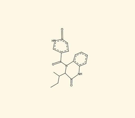 CCC(C)C1C(=O)Nc2ccccc2N1C(=O)c1ccc(=O)[nH]c1